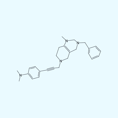 CN1CN(Cc2ccccc2)CC2=C1CCN(CC#Cc1ccc(N(C)C)cc1)C2